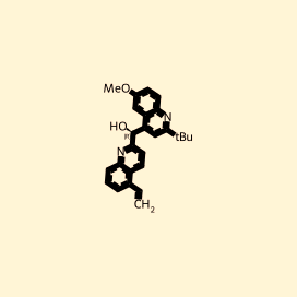 C=Cc1cccc2nc([C@H](O)c3cc(C(C)(C)C)nc4ccc(OC)cc34)ccc12